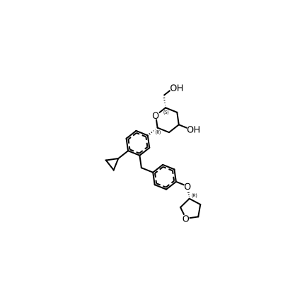 OC[C@@H]1CC(O)C[C@H](c2ccc(C3CC3)c(Cc3ccc(O[C@@H]4CCOC4)cc3)c2)O1